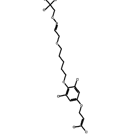 ClC(Cl)=CCOc1cc(Cl)c(OCCCCCOC/C=N/OCC(Cl)(Cl)Cl)c(Cl)c1